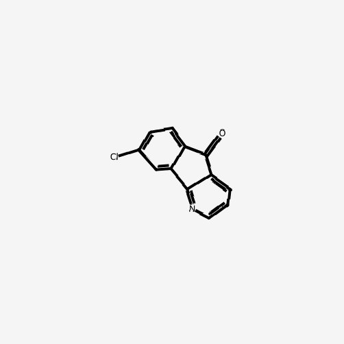 O=C1c2ccc(Cl)cc2-c2ncccc21